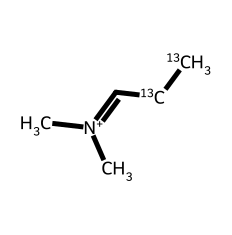 C[N+](C)=C[13CH2][13CH3]